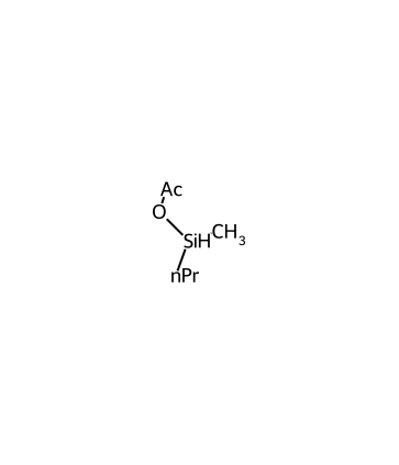 CCC[SiH](C)OC(C)=O